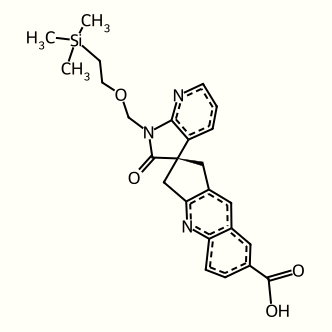 C[Si](C)(C)CCOCN1C(=O)[C@]2(Cc3cc4cc(C(=O)O)ccc4nc3C2)c2cccnc21